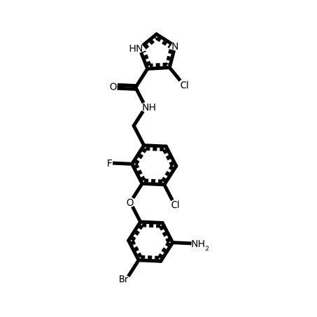 Nc1cc(Br)cc(Oc2c(Cl)ccc(CNC(=O)c3[nH]cnc3Cl)c2F)c1